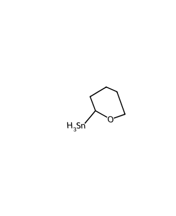 [SnH3][CH]1CCCCO1